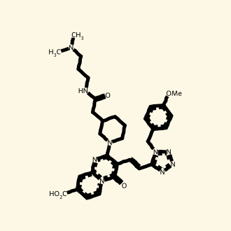 COc1ccc(Cn2nnnc2C=Cc2c(N3CCCC(CC(=O)NCCCN(C)C)C3)nc3cc(C(=O)O)ccn3c2=O)cc1